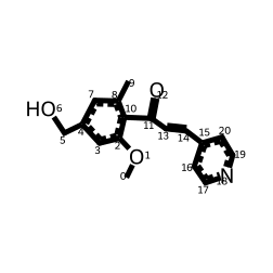 COc1cc(CO)cc(C)c1C(=O)/C=C/c1ccncc1